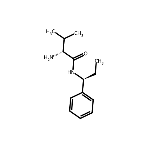 CC[C@H](NC(=O)[C@H](N)C(C)C)c1ccccc1